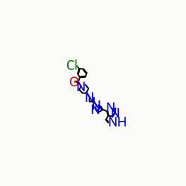 O=C(c1cccc(Cl)c1)N1CCC(N2C[C](n3cc(-c4ncnc5[nH]ccc45)cn3)C2)CC1